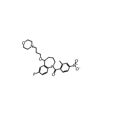 Cc1cc([N+](=O)[O-])ccc1C(=O)N1CCCC(OCCCN2CCOCC2)c2cc(F)ccc21